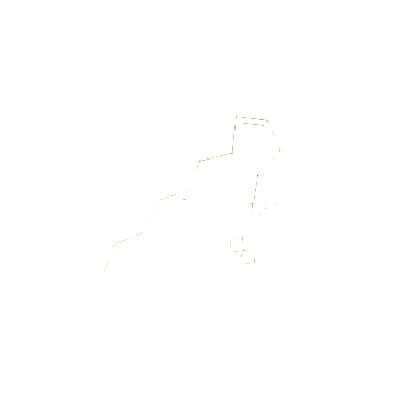 CCCCOC(C)C1=[C]([Ti+2])CC=C1.[Cl-].[Cl-]